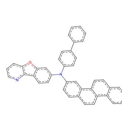 c1ccc(-c2ccc(N(c3ccc4c(c3)oc3cccnc34)c3ccc4ccc5c6ccccc6ccc5c4c3)cc2)cc1